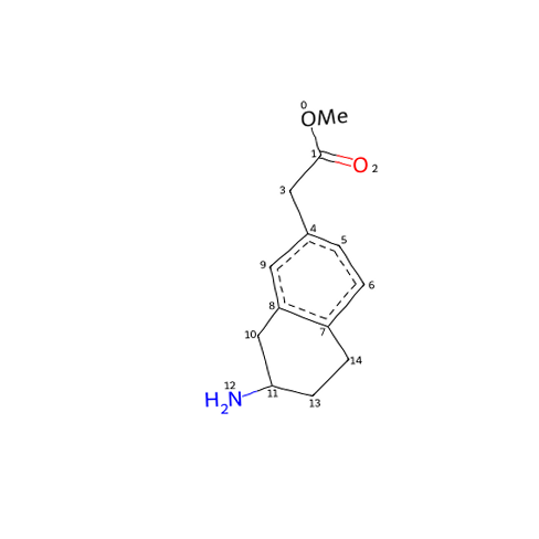 COC(=O)Cc1ccc2c(c1)CC(N)CC2